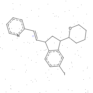 Ic1ccc2c(c1)C(C1CCCCO1)CC2/C=C/c1ccccn1